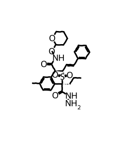 CCC[C@](C(=O)NN)(c1ccc(C)cc1[C@H](C/C=C/c1ccccc1)C(=O)NOC1CCCCO1)S(C)(=O)=O